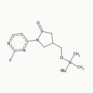 CC(C)(C)[Si](C)(C)OCC1CC(=O)N(c2ccnc(F)n2)C1